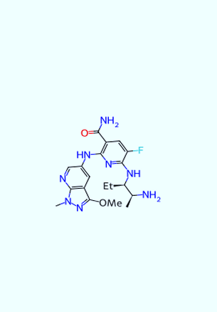 CC[C@@H](Nc1nc(Nc2cnc3c(c2)c(OC)nn3C)c(C(N)=O)cc1F)[C@H](C)N